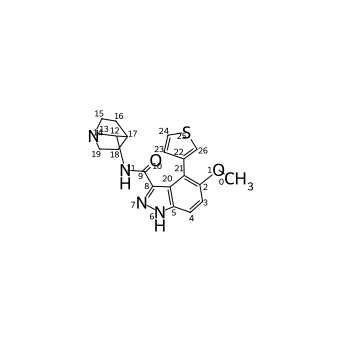 COc1ccc2[nH]nc(C(=O)NC3CN4CCC3CC4)c2c1-c1ccsc1